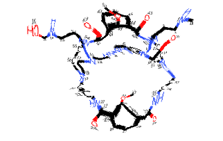 CNCCN1CCNNCCN(CCNCO)CCN2CCNC(=O)c3cccc(c3OC)C(=O)NCCN(CCNC(=O)c3cccc(c3OC)C(=O)NCC2)CC1=O